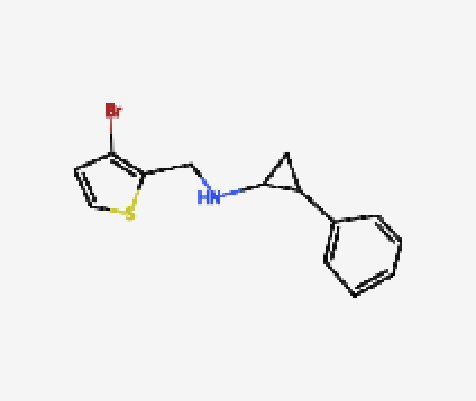 Brc1ccsc1CNC1CC1c1ccccc1